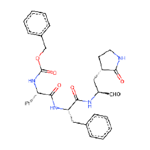 CC(C)[C@H](NC(=O)OCc1ccccc1)C(=O)N[C@@H](Cc1ccccc1)C(=O)N[C@H](C=O)C[C@@H]1CCNC1=O